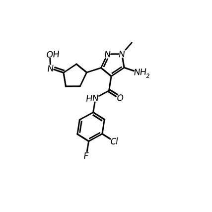 Cn1nc(C2CCC(=NO)C2)c(C(=O)Nc2ccc(F)c(Cl)c2)c1N